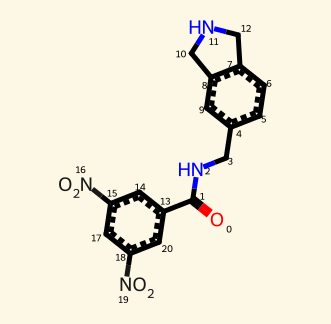 O=C(NCc1ccc2c(c1)CNC2)c1cc([N+](=O)[O-])cc([N+](=O)[O-])c1